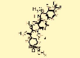 C=C(C(=O)N(C)c1ncnc(N[C@H](C)c2cccc(C(F)F)c2F)c1C)C1CCS(=O)(=NC)CC1